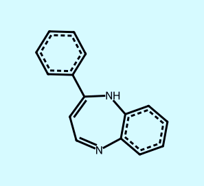 C1=Nc2ccccc2NC(c2ccccc2)=C1